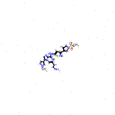 Cn1cc(-c2cnc3c(Nc4cc(C5CCN(S(C)(=O)=O)C5)ns4)nc(CCN)cn23)cn1